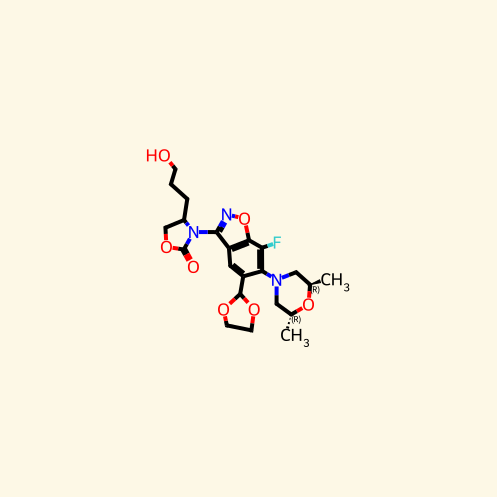 C[C@@H]1CN(c2c(C3OCCO3)cc3c(N4C(=O)OCC4CCCO)noc3c2F)C[C@@H](C)O1